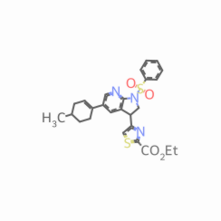 CCOC(=O)c1nc(C2CN(S(=O)(=O)c3ccccc3)c3ncc(C4=CCC(C)CC4)cc32)cs1